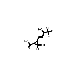 CC1(C)C(C=CC(O)C(Cl)(Cl)Cl)C1C(=O)O